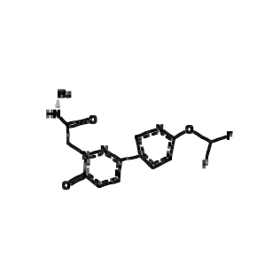 CC[C@@H](C)NC(=O)Cn1nc(-c2ccc(OC(F)F)nc2)ccc1=O